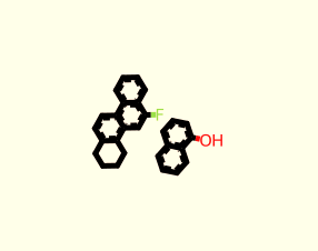 Fc1cc2c3c(ccc2c2ccccc12)CCCC3.Oc1cccc2ccccc12